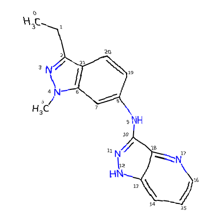 CCc1nn(C)c2cc(Nc3n[nH]c4cccnc34)ccc12